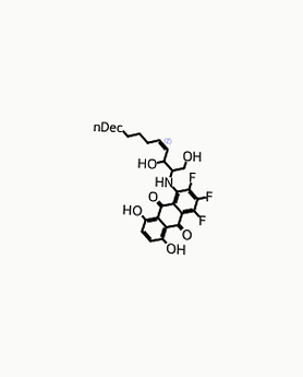 CCCCCCCCCCCCC/C=C\C(O)C(CO)Nc1c(F)c(F)c(F)c2c1C(=O)c1c(O)ccc(O)c1C2=O